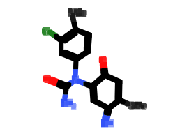 CNc1ccc(N(C(N)=O)C2=CC(=N)C(OC)=CC2=O)cc1Cl